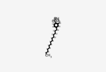 CCCCCCCCCCCCCCCc1ccc(S(=O)(=O)O)c(F)c1